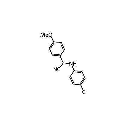 COc1ccc(C(C#N)Nc2ccc(Cl)cc2)cc1